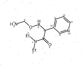 CCN(CC)C(=O)C(BOCN)c1cccnc1